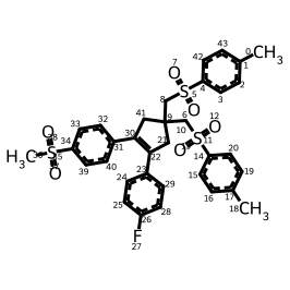 Cc1ccc(S(=O)(=O)CC2(CS(=O)(=O)c3ccc(C)cc3)CC(c3ccc(F)cc3)=C(c3ccc(S(C)(=O)=O)cc3)C2)cc1